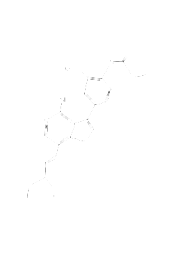 CCOC(C=Cc1cnc(N)c2c(-c3ccc(NC(=O)OC(C)(C)C)c(OC)c3)csc12)OCC